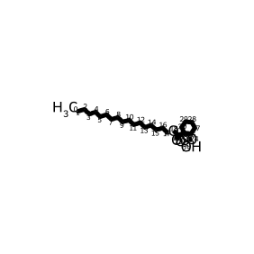 CCCCCCCCCCCCCCCCCCOC(=O)C1(S(=O)(=O)O)CCCCC1